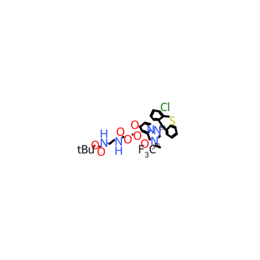 C[C@@H](N1CN([C@@H]2c3ccccc3SCc3c(Cl)cccc32)n2ccc(=O)c(OCOC(=O)NCCNC(=O)OC(C)(C)C)c2C1=O)C(F)(F)F